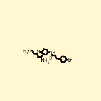 CCCc1cc(N)c2cc(NC(=O)/C=C/c3ccc(Br)cc3)ccc2n1